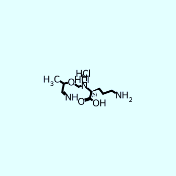 CC(C=N)OCN[C@@H](CCCN)C(=O)O.Cl.Cl